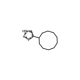 c1[nH]npc1C1CCCCCCCCC1